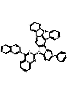 c1ccc(-c2ccc3c(c2)c2c4c5ccccc5n5c6ccccc6c(cc2n3-c2nc(-c3ccc6ccccc6c3)c3ccccc3n2)c45)cc1